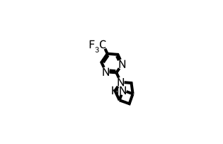 FC(F)(F)c1cnc(N2CC3CC(C2)N3)nc1